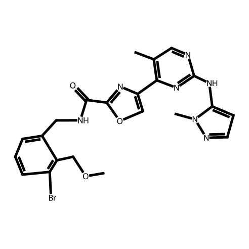 COCc1c(Br)cccc1CNC(=O)c1nc(-c2nc(Nc3ccnn3C)ncc2C)co1